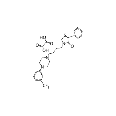 O=C(O)C(=O)O.O=C1C(c2ccccc2)SCN1CCCCN1CCN(c2cccc(C(F)(F)F)c2)CC1